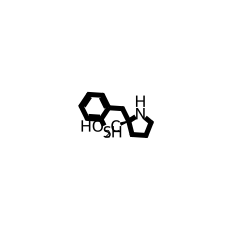 O=C(O)[C@]1(Cc2ccccc2S)CCCN1